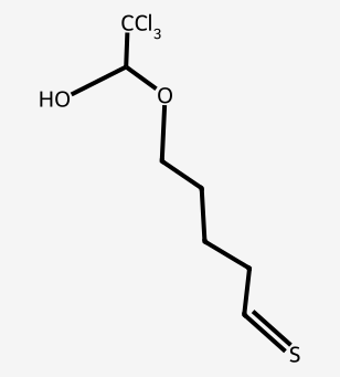 OC(OCCCCC=S)C(Cl)(Cl)Cl